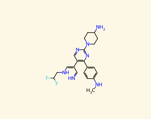 CNc1ccc(-c2nc(N3CCC(N)CC3)ncc2/C(C=N)=C/NCC(F)F)cc1